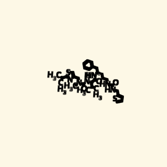 CC(C)c1nc(CN(C)C(=O)N[C@H](C(=O)N[C@H](CCCNC(=O)NCc2cccs2)Cc2ccccc2)C(C)C)cs1